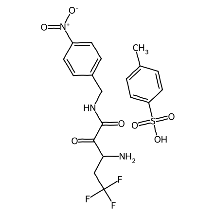 Cc1ccc(S(=O)(=O)O)cc1.NC(CC(F)(F)F)C(=O)C(=O)NCc1ccc([N+](=O)[O-])cc1